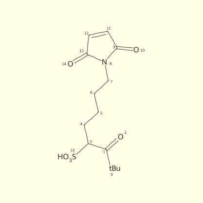 CC(C)(C)C(=O)C(CCCCN1C(=O)C=CC1=O)S(=O)(=O)O